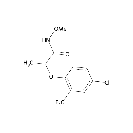 CONC(=O)C(C)Oc1ccc(Cl)cc1C(F)(F)F